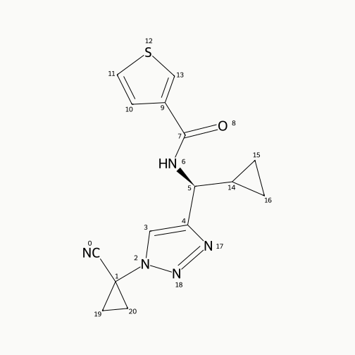 N#CC1(n2cc([C@@H](NC(=O)c3ccsc3)C3CC3)nn2)CC1